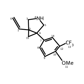 C=CC12CNCC1(c1ccc(OC)c(C(F)(F)F)c1)C2